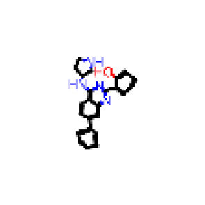 Oc1ccccc1-c1nc(N[C@H]2CCNC2)c2ccc(-c3ccccc3)cc2n1